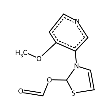 COc1ccncc1N1C=CSC1OC=O